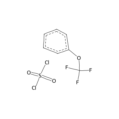 FC(F)(F)Oc1ccccc1.O=S(=O)(Cl)Cl